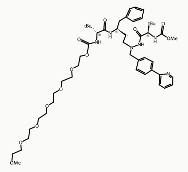 COCCOCCOCCOCCOCCOCCOC(=O)N[C@@H](C(=O)N[C@H]([CH]CN(Cc1ccc(-c2ccccn2)cc1)NC(=O)[C@H](NC(=O)OC)C(C)(C)C)Cc1ccccc1)C(C)(C)C